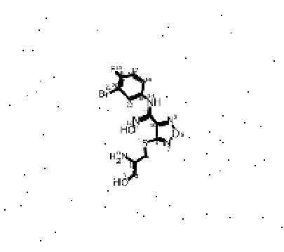 NC(CO)CSc1nonc1C(=NO)Nc1ccc(F)c(Br)c1